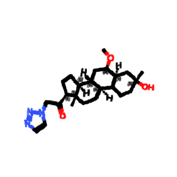 CO[C@@H]1C[C@@H]2[C@H](CC[C@]3(C)[C@@H](C(=O)Cn4ccnn4)CC[C@@H]23)C2CC[C@@](C)(O)C[C@@H]21